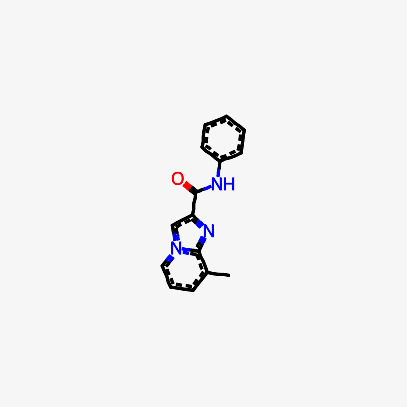 Cc1cccn2cc(C(=O)Nc3ccccc3)nc12